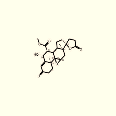 COC(=O)[C@H]1C2C3CC[C@@]4(CCC(=O)O4)[C@@]3(C)C[C@H]3O[C@@]23[C@@]2(C)CCC(=O)C=C2[C@@H]1O